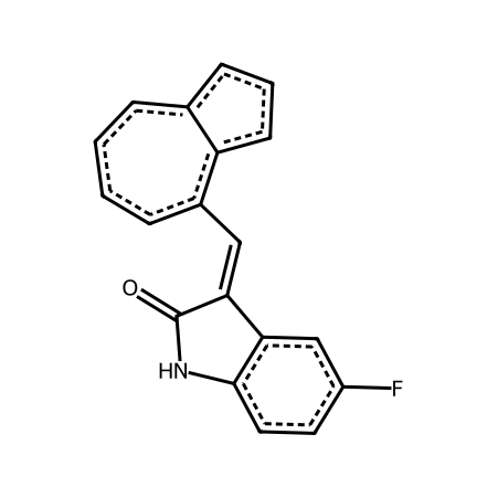 O=C1Nc2ccc(F)cc2C1=Cc1ccccc2cccc1-2